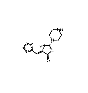 O=C1N=C(N2CCNCC2)NC1=Cc1cccs1